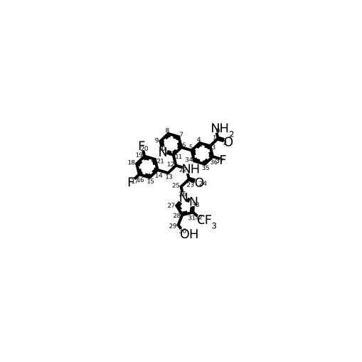 NC(=O)c1cc(-c2cccnc2C(Cc2cc(F)cc(F)c2)NC(=O)Cn2cc(CO)c(C(F)(F)F)n2)ccc1F